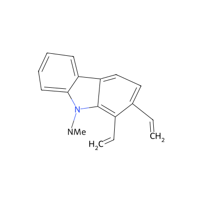 C=Cc1ccc2c3ccccc3n(NC)c2c1C=C